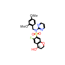 COc1ccc(CN(c2ncccn2)S(=O)(=O)c2cc3c(cc2F)[C@H](O)CCO3)c(OC)c1